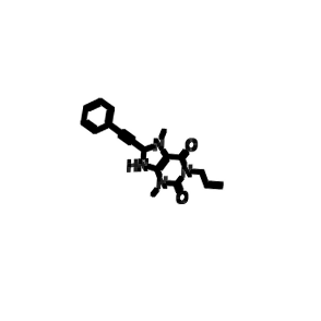 C=CCn1c(=O)c2c(n(C)c1=O)NC(C#Cc1ccccc1)N2C